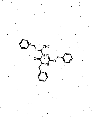 O=[C]C(NC(=O)[C@H](Cc1ccccc1)NC(=O)OCc1ccccc1)OCc1ccccc1